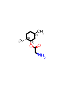 CC(C)[C@@H]1CC[C@@H](C)C[C@H]1OC(=O)CN